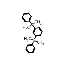 C[Si](C)(c1[c]c([Si](C)(C)c2ccccc2)ccc1)c1ccccc1